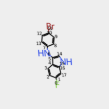 Fc1ccc2c(Nc3ccc(Br)cc3)c[nH]c2c1